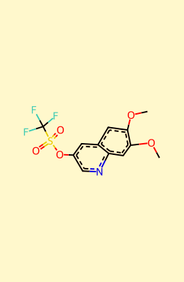 COc1cc2cc(OS(=O)(=O)C(F)(F)F)cnc2cc1OC